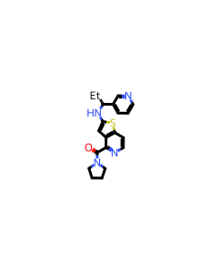 CCC(Nc1cc2c(C(=O)N3CCCC3)nccc2s1)c1cccnc1